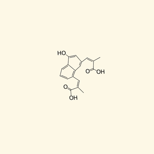 CC(=Cc1cc(O)c2cccc(C=C(C)C(=O)O)c2c1)C(=O)O